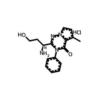 Cc1ccn2nc([C@@H](N)CCO)n(-c3ccccc3)c(=O)c12.Cl